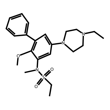 CCN1CCN(c2cc(-c3ccccc3)c(OC)c(N(C)S(=O)(=O)CC)c2)CC1